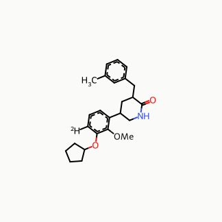 [2H]c1ccc(C2CNC(=O)C(Cc3cccc(C)c3)C2)c(OC)c1OC1CCCC1